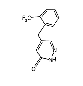 O=c1cc(Cc2ccccc2C(F)(F)F)cn[nH]1